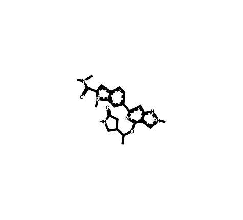 CC(Oc1nc(-c2ccc3cc(C(=O)N(C)C)n(C)c3c2)cc2nn(C)cc12)C1CNC(=O)C1